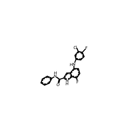 O=C(Nc1ccccc1)c1cc2c(Nc3ccc(F)c(Cl)c3)ccc(F)c2[nH]1